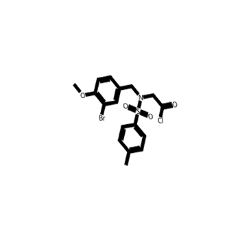 COc1ccc(CN(CC(=O)Cl)S(=O)(=O)c2ccc(C)cc2)cc1Br